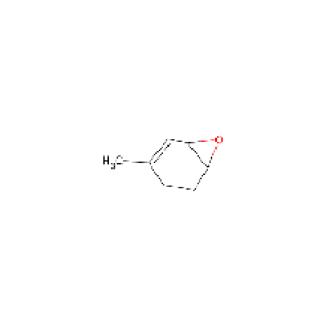 CC1=CC2OC2CC1